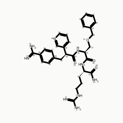 N=C(N)NCCC[C@H](NC(=O)[C@H](COCc1ccccc1)NC(=O)[C@@H](Cc1ccc(C(=N)N)cc1)c1cccnc1)C(N)=O